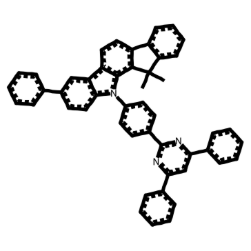 CC1(C)c2ccccc2-c2ccc3c4cc(-c5ccccc5)ccc4n(-c4ccc(-c5nc(-c6ccccc6)cc(-c6ccccc6)n5)cc4)c3c21